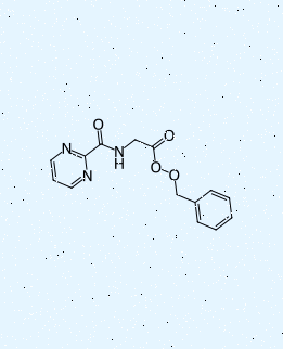 O=C(CNC(=O)c1ncccn1)OOCc1ccccc1